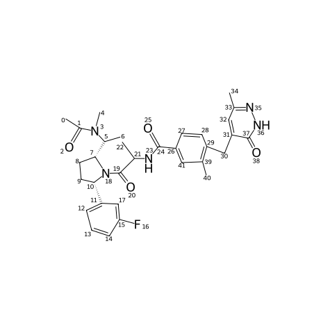 CC(=O)N(C)C(C)[C@H]1CC[C@@H](c2cccc(F)c2)N1C(=O)C(C)NC(=O)c1ccc(Cc2cc(C)n[nH]c2=O)c(C)c1